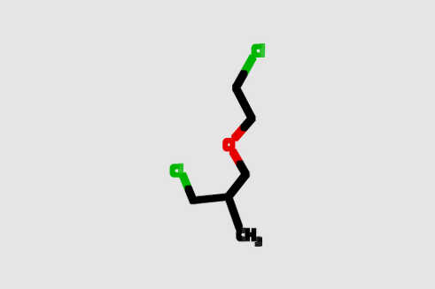 CC(CCl)COCCCl